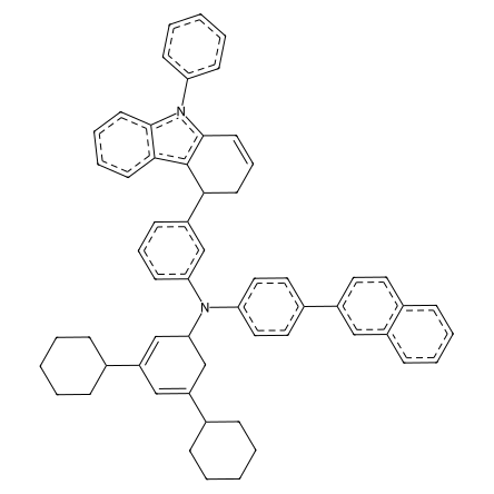 C1=Cc2c(c3ccccc3n2-c2ccccc2)C(c2cccc(N(c3ccc(-c4ccc5ccccc5c4)cc3)C3C=C(C4CCCCC4)C=C(C4CCCCC4)C3)c2)C1